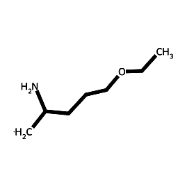 [CH2]C(N)CCCOCC